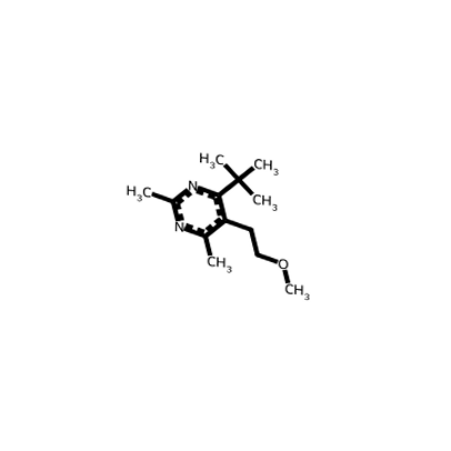 COCCc1c(C)nc(C)nc1C(C)(C)C